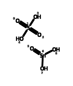 O=S(=O)(O)O.[O]=[Sn]([OH])[OH]